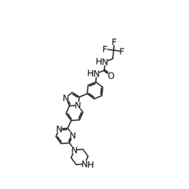 O=C(NCC(F)(F)F)Nc1cccc(-c2cnc3cc(-c4nccc(N5CCNCC5)n4)ccn23)c1